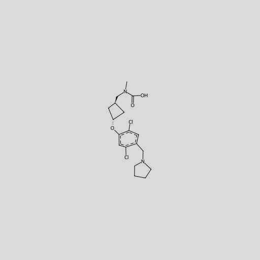 CN(C[C@H]1C[C@H](Oc2cc(Cl)c(CN3CCCC3)cc2Cl)C1)C(=O)O